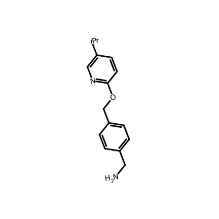 CC(C)c1ccc(OCc2ccc(CN)cc2)nc1